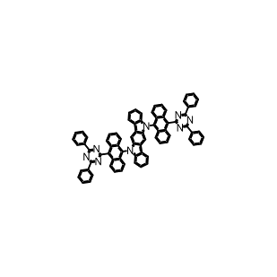 c1ccc(-c2nc(-c3ccccc3)nc(-c3c4ccccc4c(-n4c5ccccc5c5cc6c(cc54)c4ccccc4n6-c4c5ccccc5c(-c5nc(-c6ccccc6)nc(-c6ccccc6)n5)c5ccccc45)c4ccccc34)n2)cc1